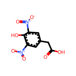 O=C(O)Cc1cc([N+](=O)[O-])c(O)c([N+](=O)[O-])c1